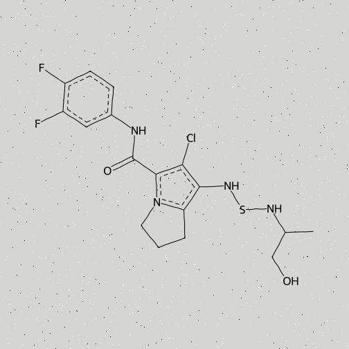 CC(CO)NSNc1c(Cl)c(C(=O)Nc2ccc(F)c(F)c2)n2c1CCC2